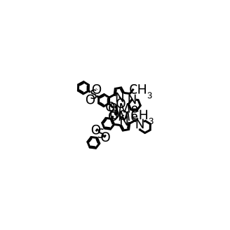 COc1ccc(S(=O)(=O)c2ccccc2)cc1-c1ccc(C(C)N2CCCCC2)n1OC(=O)C(=O)On1c(-c2cc(S(=O)(=O)c3ccccc3)ccc2OC)ccc1C(C)N1CCCCC1